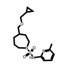 Cc1cccc(NS(=O)(=O)N2CCCC(COCC3CC3)CC2)n1